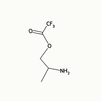 CC(N)COC(=O)C(F)(F)F